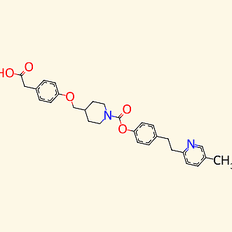 Cc1ccc(CCc2ccc(OC(=O)N3CCC(COc4ccc(CC(=O)O)cc4)CC3)cc2)nc1